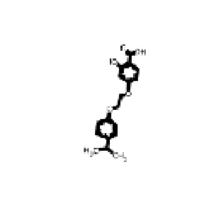 CC(C)c1ccc(OCCOc2ccc(C(=O)O)c(O)c2)cc1